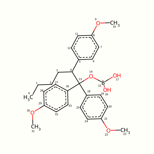 CCCCC(c1ccc(OC)cc1)C(OB(O)O)(c1ccc(OC)cc1)c1ccc(OC)cc1